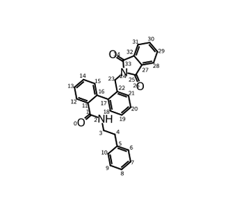 O=C(NCCc1ccccc1)c1ccccc1-c1ccccc1CN1C(=O)c2ccccc2C1=O